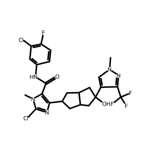 Cn1cc(C2(O)CC3CC(c4nc(Cl)n(C)c4C(=O)Nc4ccc(F)c(Cl)c4)CC3C2)c(C(F)(F)F)n1